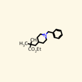 CCOC(=O)C(C)(C)CC1CCN(Cc2ccccc2)CC1